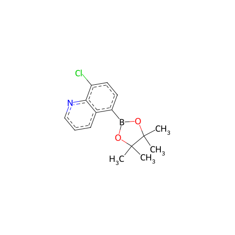 CC1(C)OB(c2ccc(Cl)c3ncccc23)OC1(C)C